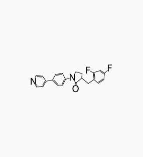 O=C1C(Cc2ccc(F)cc2F)CCN1c1ccc(-c2ccncc2)cc1